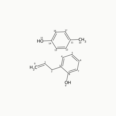 C=CCc1ccccc1O.Cc1ccc(O)cc1